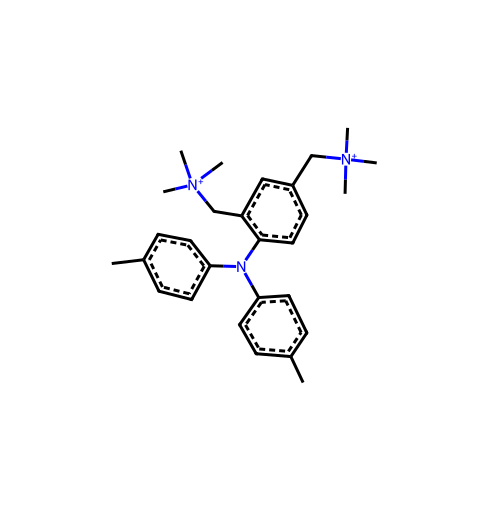 Cc1ccc(N(c2ccc(C)cc2)c2ccc(C[N+](C)(C)C)cc2C[N+](C)(C)C)cc1